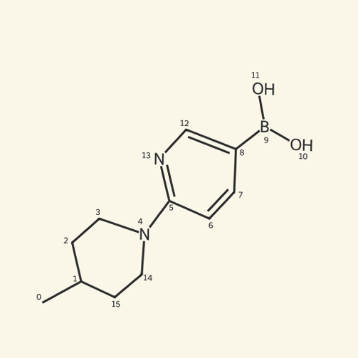 CC1CCN(c2ccc(B(O)O)cn2)CC1